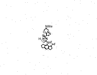 CN[C@@H]1COc2c([S@@](N)(=O)=NC(=O)Nc3c4c(cc5c3[C@@H](C(F)F)CC5)CCC4)cnn2C1